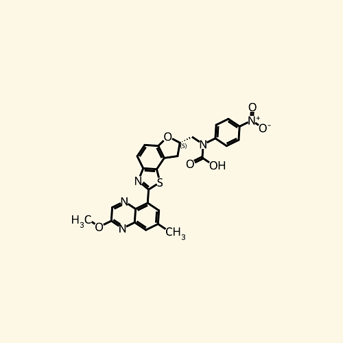 COc1cnc2c(-c3nc4ccc5c(c4s3)C[C@@H](CN(C(=O)O)c3ccc([N+](=O)[O-])cc3)O5)cc(C)cc2n1